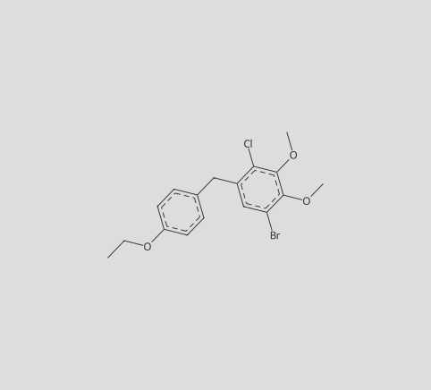 CCOc1ccc(Cc2cc(Br)c(OC)c(OC)c2Cl)cc1